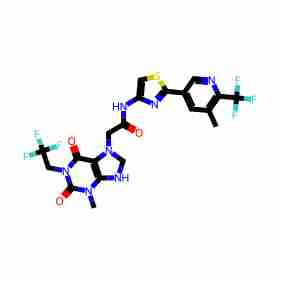 Cc1cc(-c2nc(NC(=O)CN3CNc4c3c(=O)n(CC(F)(F)F)c(=O)n4C)cs2)cnc1C(F)(F)F